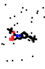 CC(C)(C)OC(=O)N[C@H](CO)Cc1cccc(C#C[Si](C)(C)C)c1